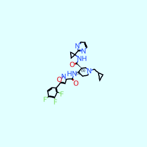 O=C(N[C@H]1CCN(CC2CC2)C[C@@H]1C(=O)NC1(c2ncccn2)CC1)c1cc(-c2ccc(F)c(F)c2F)on1